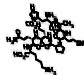 CSCC[C@H](NC(=O)[C@H](C)NC(=O)[C@@H](N)Cc1c[nH]cn1)C(=O)N1CCC[C@H]1C(=O)N[C@@H](CCC(=O)O)C(=O)N[C@@H](CCC(N)=O)C(=O)N[C@@H](CCCCN)C(=O)O